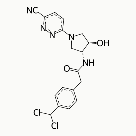 N#Cc1ccc(N2C[C@@H](O)[C@H](NC(=O)Cc3ccc(C(Cl)Cl)cc3)C2)nn1